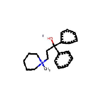 C[N+]1(CCC(O)(c2ccccc2)c2ccccc2)CCCCC1.[I-]